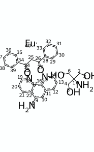 NC(CO)(CO)CO.Nc1cc2cccnc2c2ncccc12.O=C(CC(=O)c1ccccc1)c1ccccc1.[Eu]